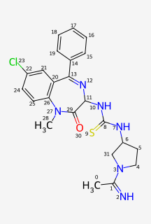 CC(=N)N1CCC(NC(=S)NC2N=C(c3ccccc3)c3cc(Cl)ccc3N(C)C2=O)C1